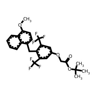 COc1ccc(Cc2c(C(F)(F)F)cc(OCC(=O)OC(C)(C)C)cc2C(F)(F)F)c2ccccc12